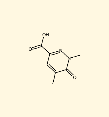 Cc1cc(C(=O)O)nn(C)c1=O